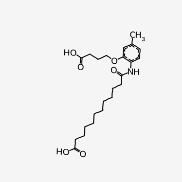 Cc1ccc(NC(=O)CCCCCCCCCCC(=O)O)c(OCCCC(=O)O)c1